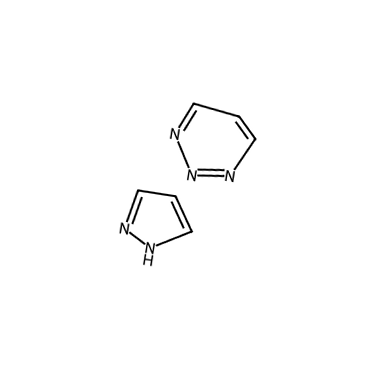 c1cn[nH]c1.c1cnnnc1